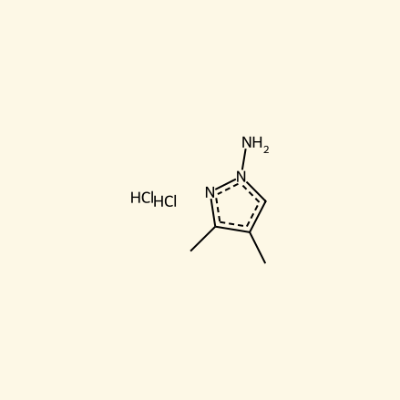 Cc1cn(N)nc1C.Cl.Cl